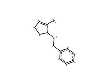 BrC1=CCCC1OCc1ccccc1